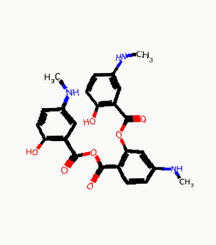 CNc1ccc(C(=O)OC(=O)c2cc(NC)ccc2O)c(OC(=O)c2cc(NC)ccc2O)c1